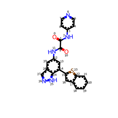 O=C(Nc1ccncc1)C(=O)Nc1cc(-c2cc3ccccc3s2)c2[nH]ncc2c1